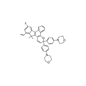 C=Cc1cc(F)cc2c1C(C)(C)c1c3c(c4ccccc4c1-2)OC(c1ccc(N2CCOCC2)cc1)(c1ccc(N2CCOCC2)cc1)C=C3